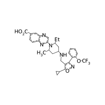 CCC1CC(NCc2c(-c3ccccc3OC(F)(F)F)noc2C2CC2)CC(C)N1c1cnc2cc(C(=O)O)ccc2n1